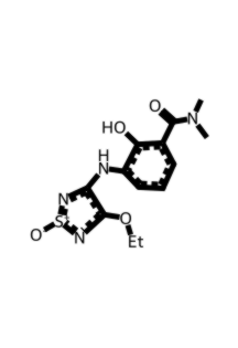 CCOc1n[s+]([O-])nc1Nc1cccc(C(=O)N(C)C)c1O